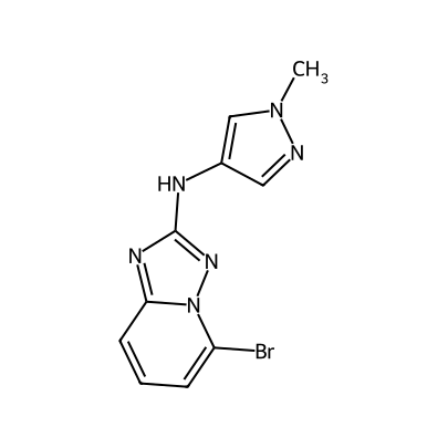 Cn1cc(Nc2nc3cccc(Br)n3n2)cn1